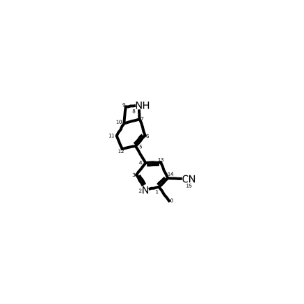 Cc1ncc(C2=CC3NCC3CC2)cc1C#N